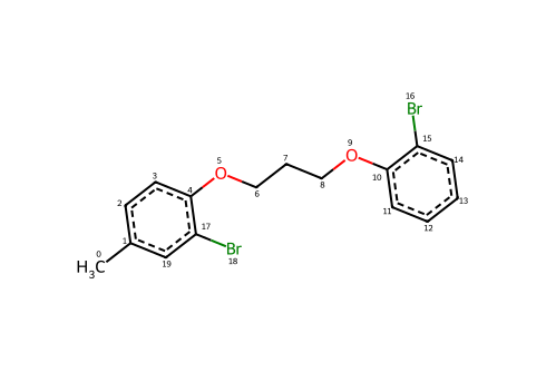 Cc1ccc(OCCCOc2ccccc2Br)c(Br)c1